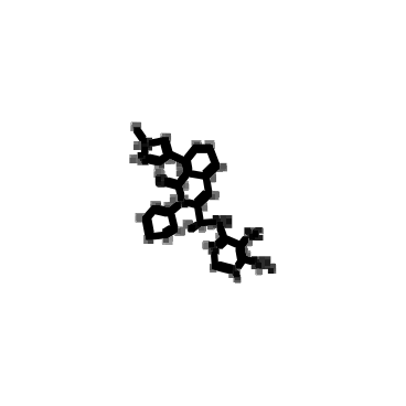 [C-]#[N+]c1c(N)ncnc1N[C@@H](C)c1cc2cccc(-c3cnn(C)c3)c2c(=O)n1-c1ccccc1